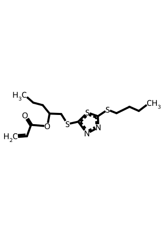 C=CC(=O)OC(CCC)CSc1nnc(SCCCC)s1